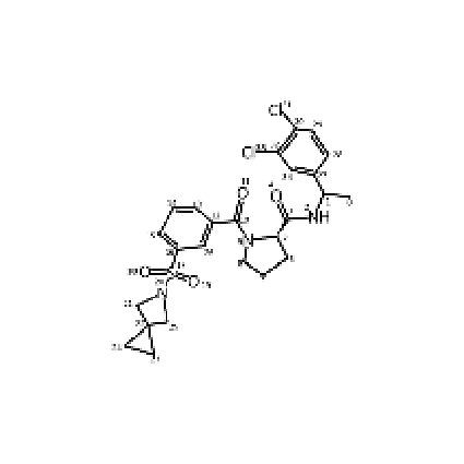 CC(NC(=O)[C@H]1CCCN1C(=O)c1cccc(S(=O)(=O)N2CC3(CC3)C2)c1)c1ccc(Cl)c(Cl)c1